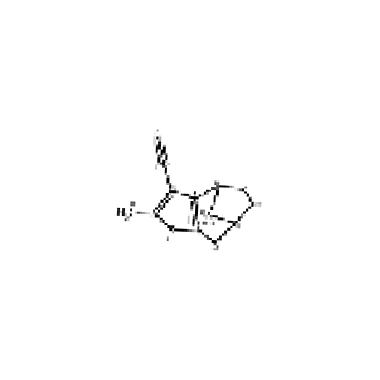 Cc1sc2c(c1C#N)C1CCC(C2)N1C